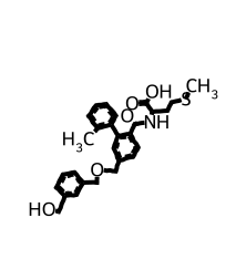 CSCCC(NC(=O)c1ccc(COCc2cccc(CO)c2)cc1-c1ccccc1C)C(=O)O